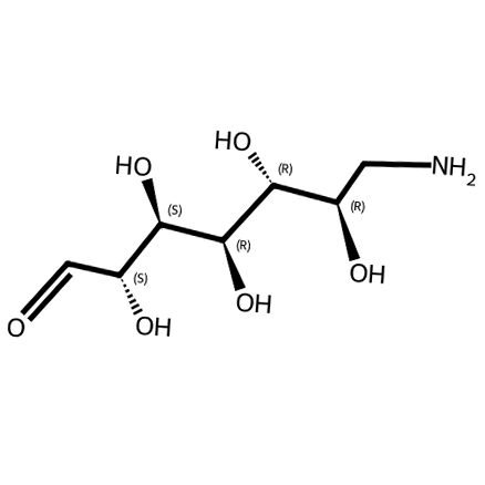 NC[C@@H](O)[C@@H](O)[C@@H](O)[C@H](O)[C@H](O)C=O